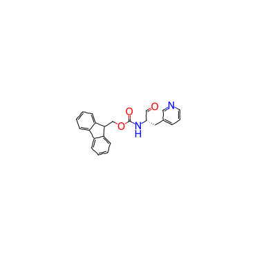 O=C[C@H](Cc1cccnc1)NC(=O)OCC1c2ccccc2-c2ccccc21